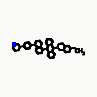 CCc1ccc2c(c1)C=CC(c1c3ccccc3c(-c3cccc4c(-c5ccc(C6C=NC=CC6)cc5)cccc34)c3ccccc13)C2